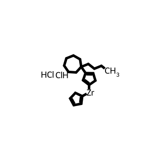 CCCCC1(C2=CC[C]([Zr][C]3=CC=CC3)=C2)CCCCCC1.Cl.Cl